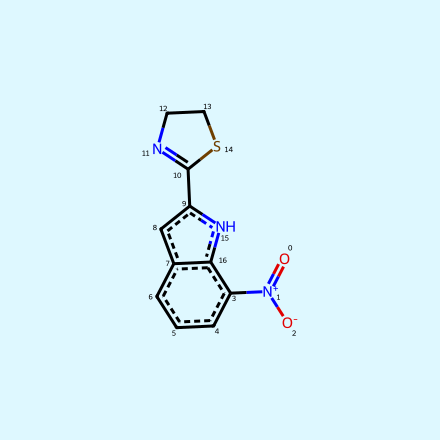 O=[N+]([O-])c1cccc2cc(C3=NCCS3)[nH]c12